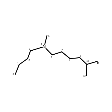 CCCCN(C)CCCCC(C)C